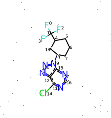 FC(F)(F)C1CCCC(n2nnc3c(Cl)ncnc32)C1